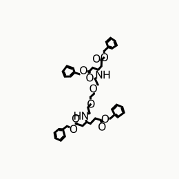 O=C(CCC(CC(=O)OCc1ccccc1)NCCOCCOCCNC(CC(=O)OCc1ccccc1)CC(=O)OCc1ccccc1)OCc1ccccc1